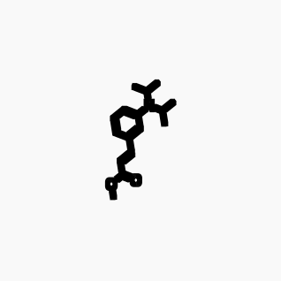 COC(=O)C=Cc1cccc(N(C(C)C)C(C)C)c1